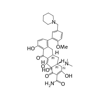 COc1ccc(CN2CCCCC2)cc1-c1ccc(O)c2c1C[C@H]1C[C@@H]3[C@H](N(C)C)C(O)=C(C(N)=O)C(=O)[C@@]3(O)C(O)=C1C2=O